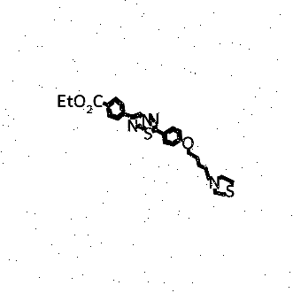 CCOC(=O)c1ccc(-c2cn3nc(-c4ccc(OCCCCCN5CCSCC5)cc4)sc3n2)cc1